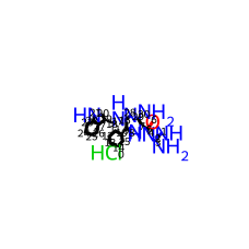 Cl.N=C(N)NC(=O)c1nc(-c2ccccc2)c(NCc2c[nH]c3ccccc23)nc1N